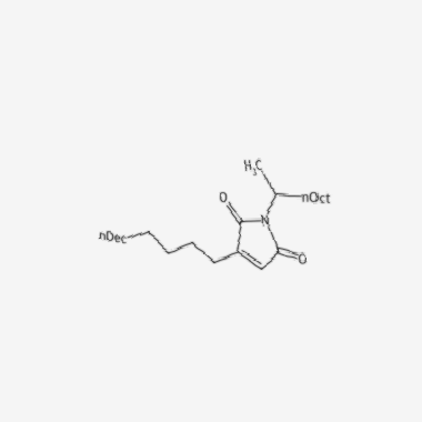 CCCCCCCCCCCCCCC1=CC(=O)N(C(C)CCCCCCCC)C1=O